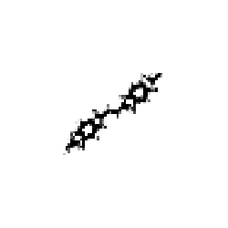 Cc1nc2cc3sc(CCc4nc5cc6nc(C)sc6cc5s4)nc3cc2s1